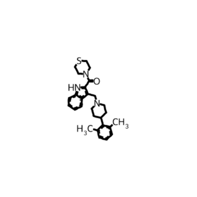 Cc1cccc(C)c1C1CCN(Cc2c(C(=O)N3CCSCC3)[nH]c3ccccc23)CC1